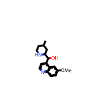 COc1ccc2nccc(C(O)C3CC(C)CCN3)c2c1